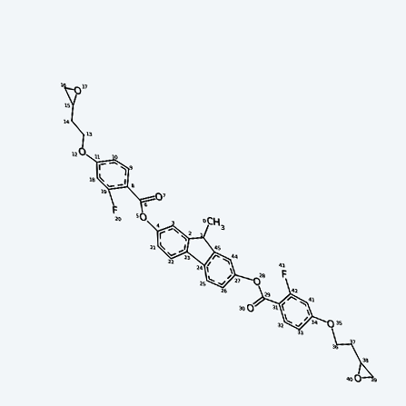 CC1c2cc(OC(=O)c3ccc(OCCC4CO4)cc3F)ccc2-c2ccc(OC(=O)c3ccc(OCCC4CO4)cc3F)cc21